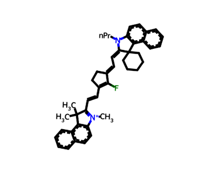 CCCN1/C(=C/C=C2\CCC(/C=C/C3=[N+](C)c4ccc5ccccc5c4C3(C)C)=C2F)C2(CCCCC2)c2c1ccc1ccccc21